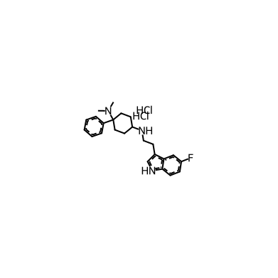 CN(C)C1(c2ccccc2)CCC(NCCc2c[nH]c3ccc(F)cc23)CC1.Cl.Cl